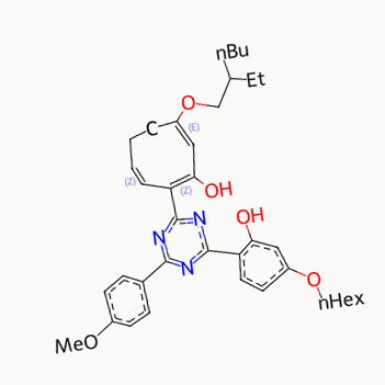 CCCCCCOc1ccc(-c2nc(C3=C(O)/C=C(/OCC(CC)CCCC)CC/C=C\3)nc(-c3ccc(OC)cc3)n2)c(O)c1